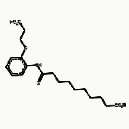 O=C(O)CCCCCCCCC(=O)Nc1ccccc1OCCC(=O)O